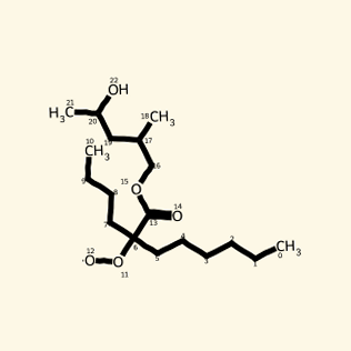 CCCCCCC(CCCC)(O[O])C(=O)OCC(C)CC(C)O